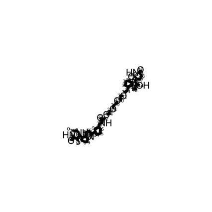 C[C@@H]1CNc2c(sc3ccc4nc(-c5cccc(CNC(=O)COCCOCCOCCOCCc6cccc7c6N(C)C(O)N7C6CCC(=O)NC6=O)c5)ccc4c23)C(=O)N1